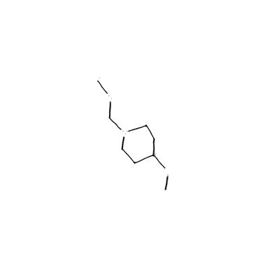 CNCN1CCC(OC)CC1